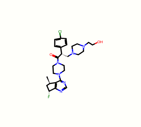 C[C@@H]1C[C@@H](F)c2ncnc(N3CCN(C(=O)[C@@H](CN4CCN(CCO)CC4)c4ccc(Cl)cc4)CC3)c21